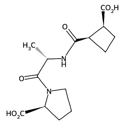 C[C@H](NC(=O)[C@@H]1CC[C@@H]1C(=O)O)C(=O)N1CCC[C@H]1C(=O)O